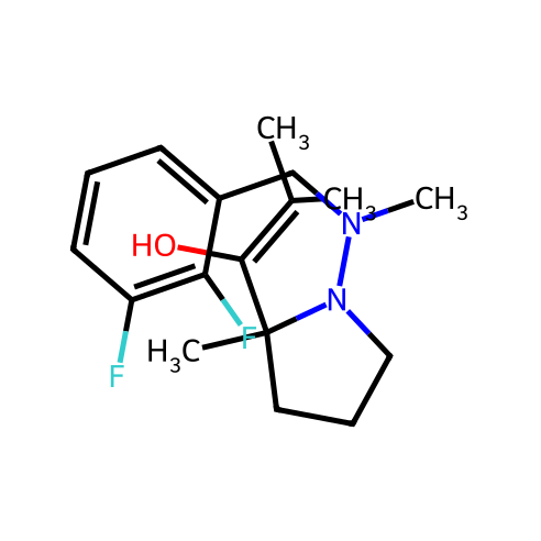 CC(C)=C(O)C1(C)CCCN1N(C)Cc1cccc(F)c1F